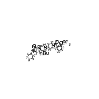 CCCCC1CN(CC2CCCCC2)C(=O)OC12CCN(C1CCN(C(=O)c3ccccc3OC(F)(F)F)CC1)CC2